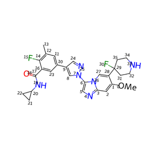 COc1cc2ncc(-n3cc(-c4cc(C)c(F)c(C(=O)NC5CC5)c4)cn3)n2cc1C1(F)CCNCC1